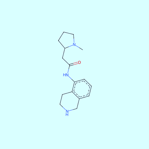 CN1CCCC1CC(=O)Nc1cccc2c1CCNC2